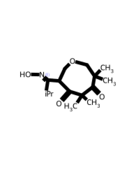 CC(C)/C(=N\O)C1COCC(C)(C)C(=O)C(C)(C)C1=O